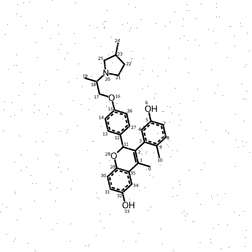 CC1=C(c2cc(O)ccc2C)C(c2ccc(OCC(C)N3CCC(C)C3)cc2)Oc2ccc(O)cc21